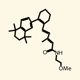 COCCNC(=O)/C=C(C)/C=C/C1=C(c2ccc3c(c2)C(C)(C)CCC3(C)C)CCCC1